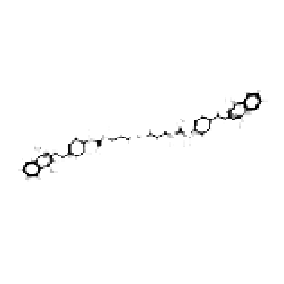 O=C(NCCCSSCCCNC(=O)NC1CCC(CCN2[C@@H]3CC[C@H]2c2ccccc23)CC1)NC1CCC(CCN2[C@@H]3CC[C@H]2c2ccccc23)CC1